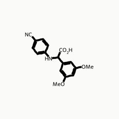 COc1cc(OC)cc(C(Nc2ccc(C#N)cc2)C(=O)O)c1